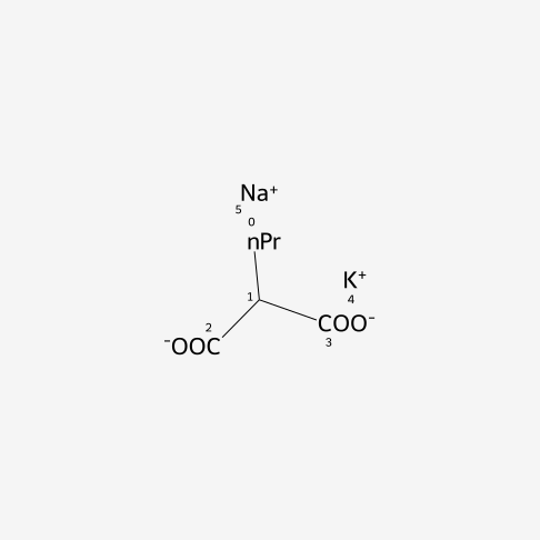 CCCC(C(=O)[O-])C(=O)[O-].[K+].[Na+]